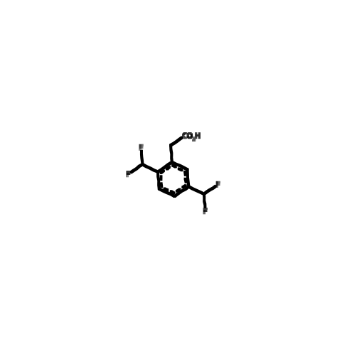 O=C(O)Cc1cc(C(F)F)ccc1C(F)F